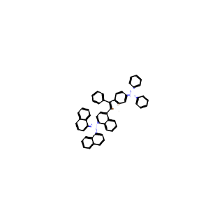 c1ccc(-c2c(-c3ccc(N(c4cccc5ccccc45)c4cccc5ccccc45)c4ccccc34)sc3cc(N(c4ccccc4)c4ccccc4)ccc23)cc1